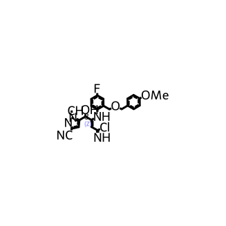 COc1ccc(COCc2cc(F)ccc2N/C(=C\C(=N)Cl)C(O)c2cc(C#N)nn2C)cc1